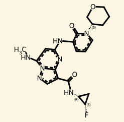 CNc1cc(Nc2cccn([C@H]3CCCOC3)c2=O)nc2c(C(=O)N[C@@H]3C[C@@H]3F)cnn12